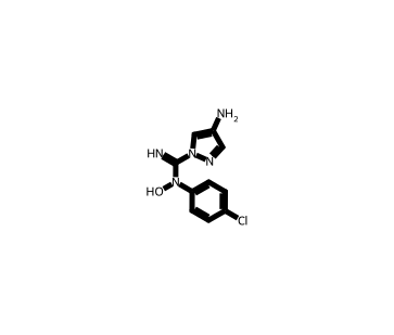 N=C(N(O)c1ccc(Cl)cc1)n1cc(N)cn1